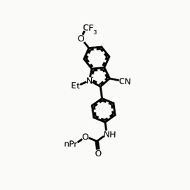 CCCOC(=O)Nc1ccc(-c2c(C#N)c3ccc(OC(F)(F)F)cc3n2CC)cc1